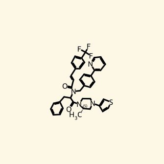 C[C@H]1CN(c2ccsc2)CCN1C(=O)C(Cc1ccccc1)N(Cc1ccc(-c2ccccn2)cc1)C(=O)C=Cc1ccc(C(F)(F)F)cc1